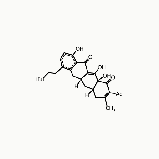 CCC(C)CCc1ccc(O)c2c1C[C@H]1C[C@H]3CC(C)=C(C(C)=O)C(=O)[C@@]3(O)C(O)=C1C2=O